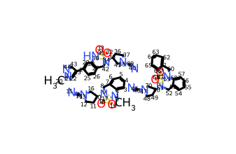 CN1c2ccccc2CN([C@@H]2CCN(C#N)C2)S1(=O)=O.Cn1cc(-c2ccc3c(c2)NS(=O)(=O)N([C@@H]2CCN(C#N)C2)C3)cn1.N#CN1CC[C@@H](N2Cc3ccccc3N(Cc3ccccc3)S2(=O)=O)C1